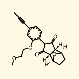 CC#Cc1ccc(C2C(=O)[C@@H]3[C@H](C2=O)[C@H]2CC[C@@H]3O2)c(OCCOC)c1